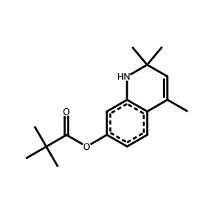 CC1=CC(C)(C)Nc2cc(OC(=O)C(C)(C)C)ccc21